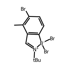 Cc1c(Br)ccc2c1C=[N+](C(C)(C)C)[B-]2(Br)Br